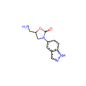 NCC1CN(c2ccc3[nH]ncc3c2)C(=O)O1